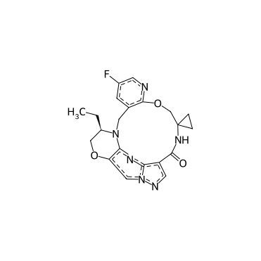 CC[C@@H]1COc2cn3ncc4c3nc2N1Cc1cc(F)cnc1OCC1(CC1)NC4=O